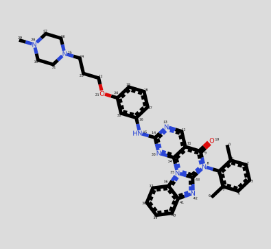 Cc1cccc(C)c1-n1c(=O)c2cnc(Nc3cccc(OCCCN4CCN(C)CC4)c3)nc2n2c3ccccc3nc12